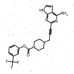 Nc1nc(C#CCC2CCN(C(=O)Oc3cccc(C(F)(F)F)c3)CC2)nc2[nH]cnc12